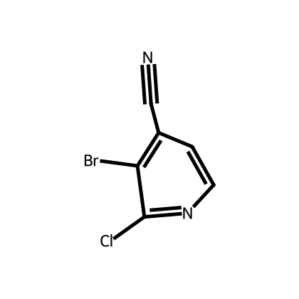 N#Cc1ccnc(Cl)c1Br